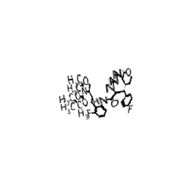 CC(C)(C)OC(=O)N1C(CCc2c(F)cccc2NC(=O)[C@@H](N=[N+]=[N-])[C@@H](c2ccc(F)cc2)C2CCOCC2)COC1(C)C